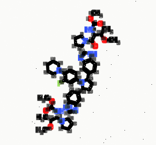 COC(=O)N[C@H](C(=O)N1CCC[C@H]1c1nc2cc(C3CC[C@@H](c4ccc5[nH]c([C@@H]6CCCN6[C@@H](NC(=O)OC)[C@@H](C)OC)nc5c4)N3c3ccc(N4CCCCC4)c(F)c3)ccc2[nH]1)[C@@H](C)OC